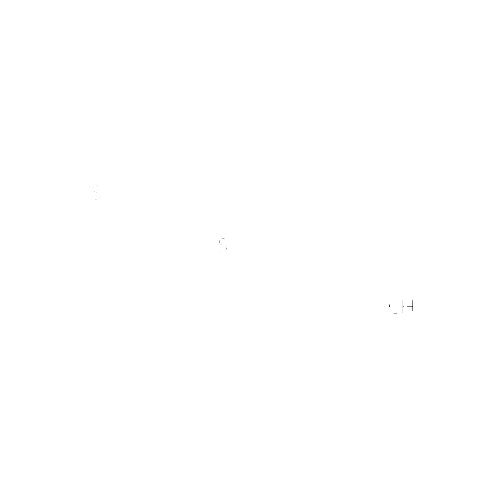 C=CCc1ccc(-c2cccs2)s1